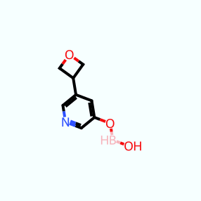 OBOc1cncc(C2COC2)c1